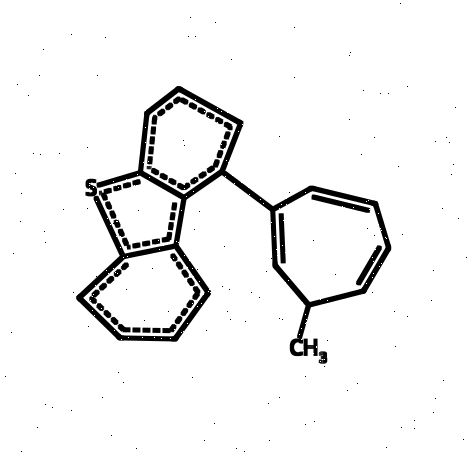 CC1C=CC=CC(c2cccc3sc4ccccc4c23)=C1